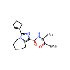 CNC(=O)[C@@H](NC(=O)c1nc(C2=CCCC2)n2c1CCCCC2)C(C)(C)C